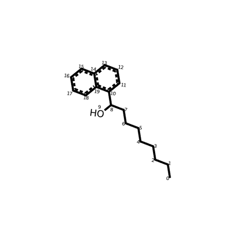 CCCCCCCCC(O)c1cccc2ccccc12